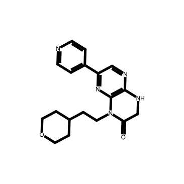 O=C1CNc2ncc(-c3ccncc3)nc2N1CCC1CCOCC1